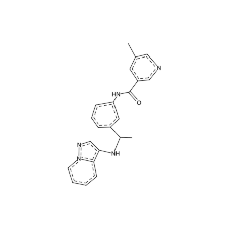 Cc1cncc(C(=O)Nc2cccc(C(C)Nc3cnn4ccccc34)c2)c1